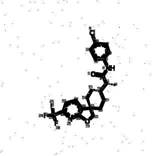 C[C@@H](C(=O)Nc1ccc(Cl)cc1)[C@H]1CC[C@@]2(CC1)COc1nc(C(F)(F)F)ccc12